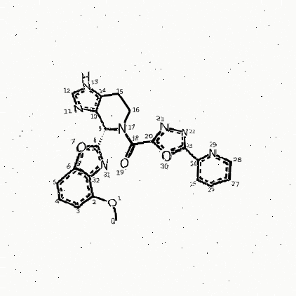 COc1cccc2oc([C@@H]3c4nc[nH]c4CCN3C(=O)c3nnc(-c4ccccn4)o3)nc12